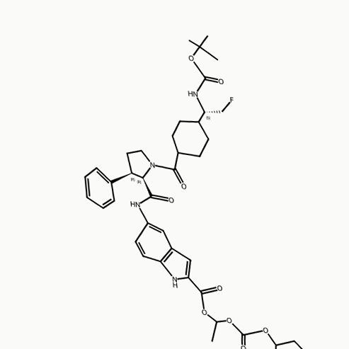 CC(OC(=O)OC1CCCCC1)OC(=O)c1cc2cc(NC(=O)[C@H]3[C@@H](c4ccccc4)CCN3C(=O)C3CCC([C@@H](CF)NC(=O)OC(C)(C)C)CC3)ccc2[nH]1